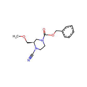 COC[C@H]1CN(C(=O)OCc2ccccc2)CCN1C#N